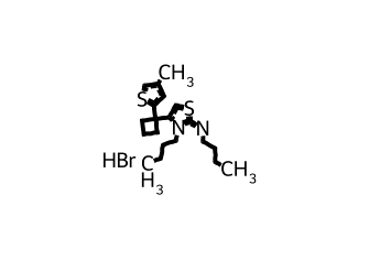 Br.CCCCN=c1scc(C2(c3cc(C)cs3)CCC2)n1CCCC